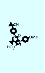 COc1ccc(-n2nc(C(=O)O)c3c2C(=O)N(c2ccc(C4(C#N)CC4)cc2)CC32CC2)cc1